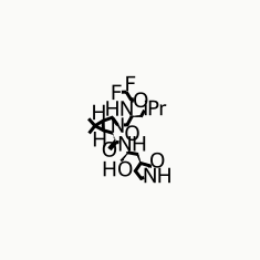 CC(C)C[C@H](NC(=O)C(F)F)C(=O)N1C[C@H]2[C@@H]([C@H]1C(=O)N[C@H](CO)C[C@@H]1CCNC1=O)C2(C)C